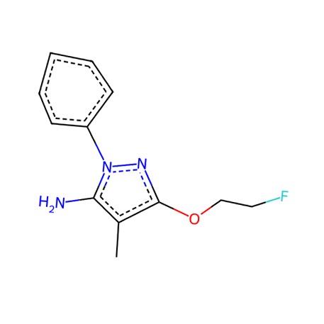 Cc1c(OCCF)nn(-c2ccccc2)c1N